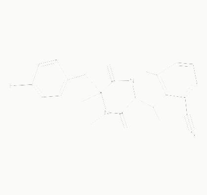 Cc1cccc(C#N)c1C(C)C1NC(=O)C(C)(Cc2ccc(F)cc2)N(C)C1=O